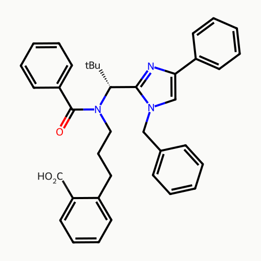 CC(C)(C)[C@H](c1nc(-c2ccccc2)cn1Cc1ccccc1)N(CCCc1ccccc1C(=O)O)C(=O)c1ccccc1